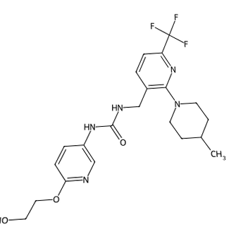 CC1CCN(c2nc(C(F)(F)F)ccc2CNC(=O)Nc2ccc(OCCO)nc2)CC1